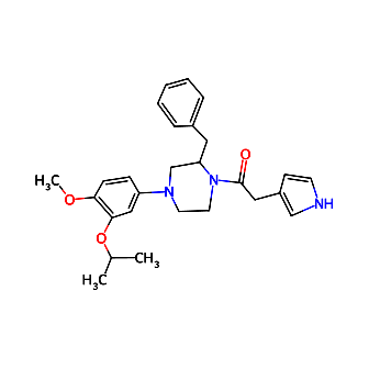 COc1ccc(N2CCN(C(=O)Cc3cc[nH]c3)C(Cc3ccccc3)C2)cc1OC(C)C